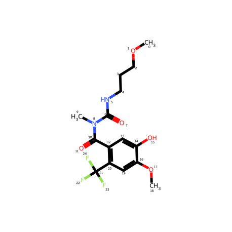 COCCCNC(=O)N(C)C(=O)c1cc(O)c(OC)cc1C(F)(F)F